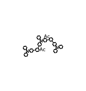 CC(=O)c1ccc(-c2ccc(N(c3ccccc3)c3ccccc3)cc2)cc1-c1ccc(N(c2ccccc2)c2ccc(-c3cc(-c4ccc(N(c5ccccc5)c5ccccc5)cc4)ccc3C(C)=O)cc2)cc1